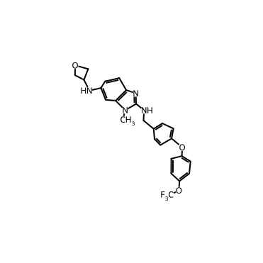 Cn1c(NCc2ccc(Oc3ccc(OC(F)(F)F)cc3)cc2)nc2ccc(NC3COC3)cc21